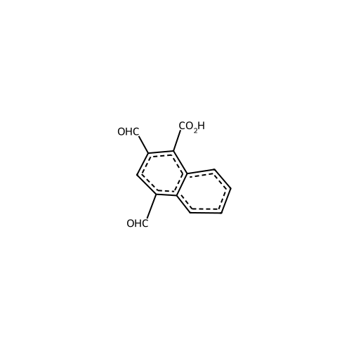 O=Cc1cc(C=O)c2ccccc2c1C(=O)O